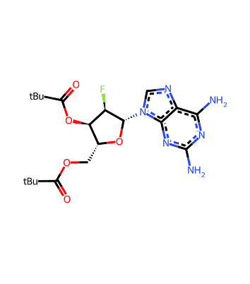 CC(C)(C)C(=O)OC[C@H]1O[C@@H](n2cnc3c(N)nc(N)nc32)[C@H](F)[C@@H]1OC(=O)C(C)(C)C